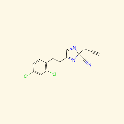 C#CCC1(C#N)N=CC(CCc2ccc(Cl)cc2Cl)=N1